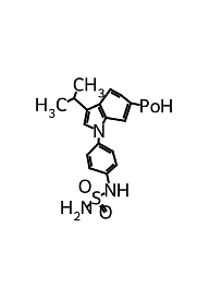 CC(C)c1cn(-c2ccc(NS(N)(=O)=O)cc2)c2c[c]([PoH])ccc12